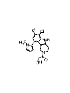 Cn1cccc1-c1cc(Cl)c(Cl)c2[nH]c3c(c12)CN(C(=O)CO)CC3